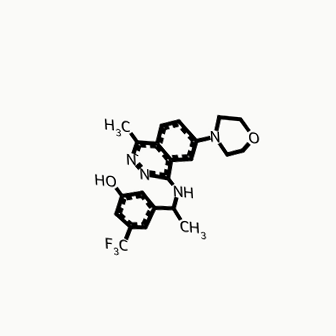 Cc1nnc(NC(C)c2cc(O)cc(C(F)(F)F)c2)c2cc(N3CCOCC3)ccc12